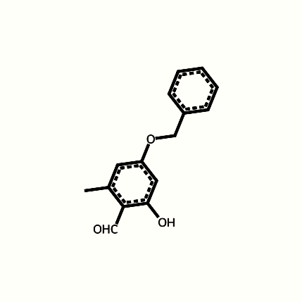 Cc1cc(OCc2ccccc2)cc(O)c1C=O